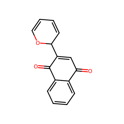 O=C1C=C(C2C=CC=CO2)C(=O)c2ccccc21